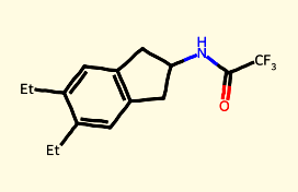 CCc1cc2c(cc1CC)CC(NC(=O)C(F)(F)F)C2